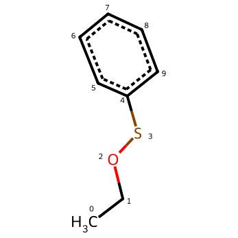 CCOSc1ccccc1